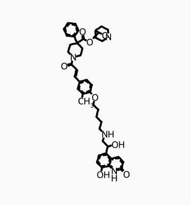 Cc1cc(/C=C/C(=O)N2CCC(C(=O)OC3CN4CCC3CC4)(c3ccccc3)CC2)ccc1OCCCCCNCC(O)c1ccc(O)c2[nH]c(=O)ccc12